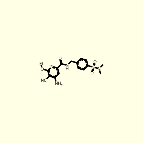 CCOc1nc(C(=O)NCc2ccc(S(=O)(=O)N(C)C)cc2)cc(N)c1C#N